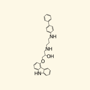 OC(CNCCCNc1ccc(-c2ccccc2)cc1)COc1cccc2[nH]c3ccccc3c12